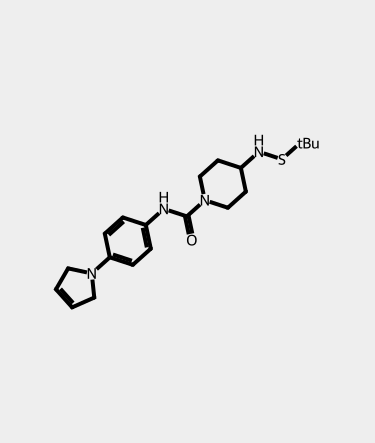 CC(C)(C)SNC1CCN(C(=O)Nc2ccc(N3CC=CC3)cc2)CC1